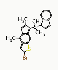 CC1=Cc2c(C)c3c(cc2=C1[Si](C)(C)C1C=Cc2ccccc21)SC(Br)C=3